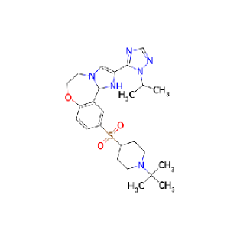 CC(C)n1ncnc1C1=CN2CCOc3ccc(S(=O)(=O)C4CCN(C(C)(C)C)CC4)cc3C2N1